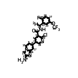 [2H]C(NC(=O)c1cc(-c2ccn3nc(N)nc3c2)cnc1Cl)c1cc(OC(F)(F)F)ccc1F